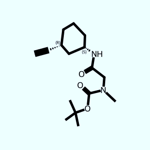 C#C[C@@H]1CCC[C@H](NC(=O)CN(C)C(=O)OC(C)(C)C)C1